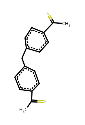 CC(=S)c1ccc(Cc2ccc(C(C)=S)cc2)cc1